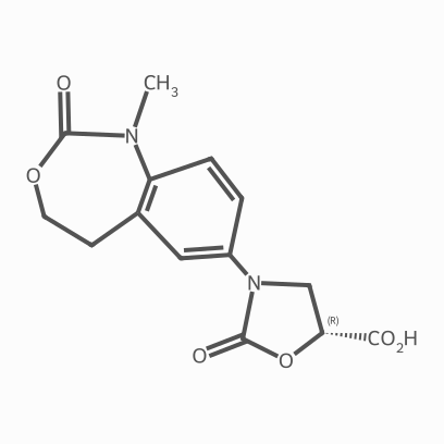 CN1C(=O)OCCc2cc(N3C[C@H](C(=O)O)OC3=O)ccc21